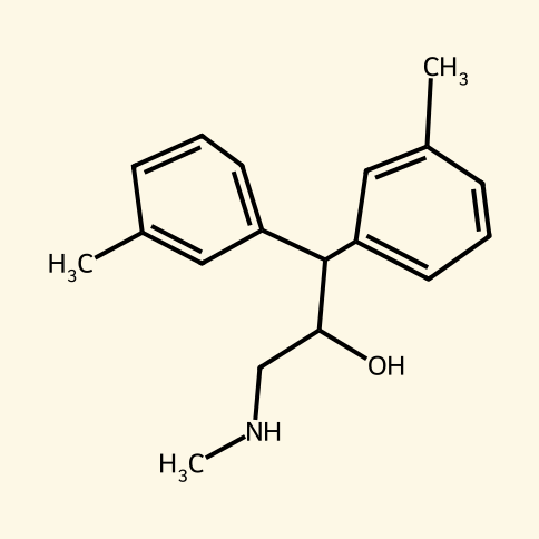 CNCC(O)C(c1cccc(C)c1)c1cccc(C)c1